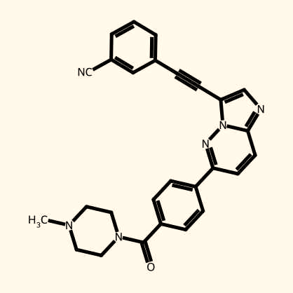 CN1CCN(C(=O)c2ccc(-c3ccc4ncc(C#Cc5cccc(C#N)c5)n4n3)cc2)CC1